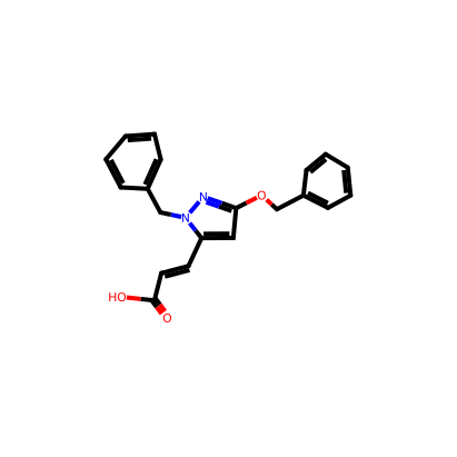 O=C(O)C=Cc1cc(OCc2ccccc2)nn1Cc1ccccc1